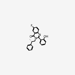 C[C@H](Cn1c(-c2ccccc2O)nc2ccc(F)cc2c1=O)c1ccccc1